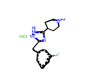 Cl.Fc1cccc(Cc2n[nH]c(C3CCNCC3)n2)c1